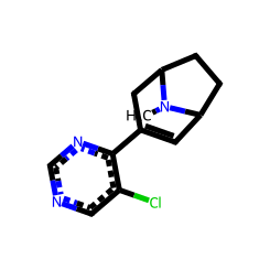 CN1C2C=C(c3ncncc3Cl)CC1CC2